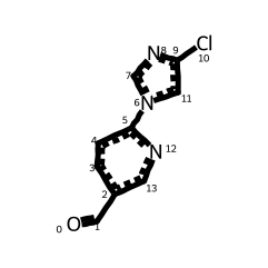 O=Cc1ccc(-n2cnc(Cl)c2)nc1